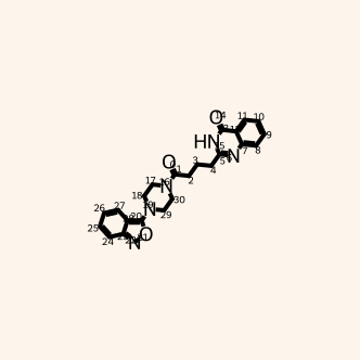 O=C(CCCc1nc2ccccc2c(=O)[nH]1)N1CCN(c2onc3ccccc23)CC1